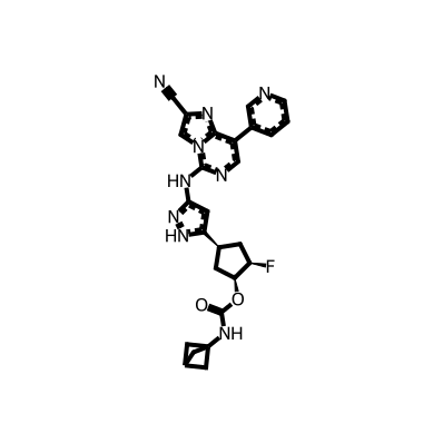 N#Cc1cn2c(Nc3cc([C@H]4C[C@@H](F)[C@@H](OC(=O)NC56CC(C5)C6)C4)[nH]n3)ncc(-c3cccnc3)c2n1